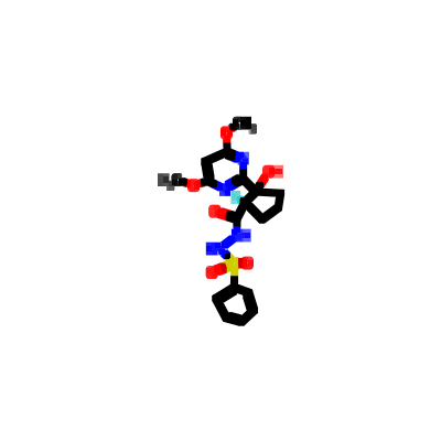 COc1cc(OC)nc(C2(O)CCCC2(F)C(=O)NNS(=O)(=O)c2ccccc2)n1